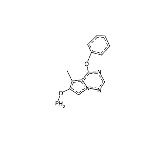 Cc1c(OP)cn2ncnc(Oc3ccccc3)c12